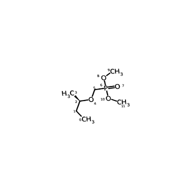 CC[C@@H](C)OCP(=O)(OC)OC